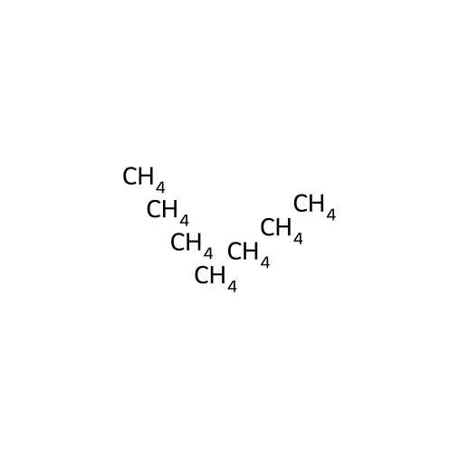 C.C.C.C.C.C.C